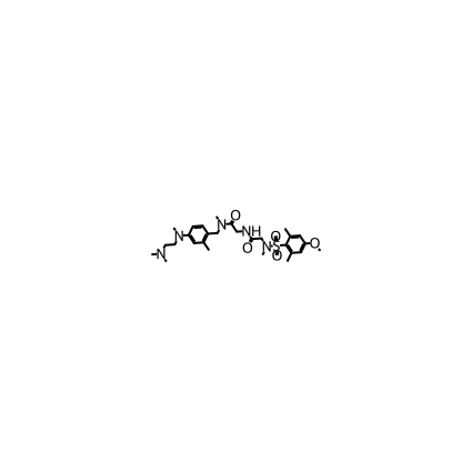 COc1cc(C)c(S(=O)(=O)N(C)CC(=O)NCC(=O)N(C)Cc2ccc(N(C)CCN(C)C)cc2C)c(C)c1